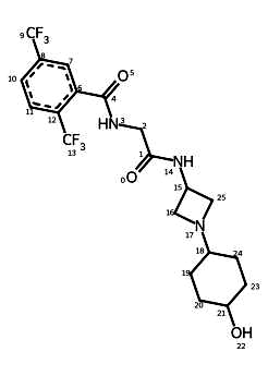 O=C(CNC(=O)c1cc(C(F)(F)F)ccc1C(F)(F)F)NC1CN(C2CCC(O)CC2)C1